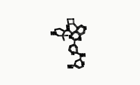 CC1(C)CNCCC1Nc1nc(-c2ccnc(NC3CC(C#N)=CC=N3)c2)nc2cncc(C3CCC3)c12